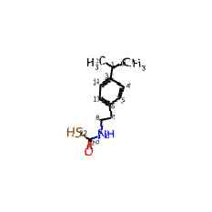 CC(C)c1ccc(CCNC(=O)S)cc1